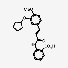 COc1ccc(C=CC(=O)Nc2ccccc2C(=O)O)cc1OC1CCCC1